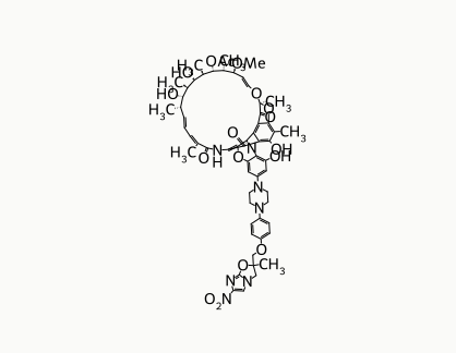 CO[C@H]1/C=C/O[C@@]2(C)Oc3c(C)c(O)c4c(=O)c(c5oc6cc(N7CCN(c8ccc(OCC9(C)Cn%10cc([N+](=O)[O-])nc%10O9)cc8)CC7)cc(O)c6nc-5c4c3C2=O)NC(=O)/C(C)=C\C=C\[C@H](C)[C@H](O)[C@@H](C)[C@@H](O)[C@@H](C)[C@H](OC(C)=O)[C@@H]1C